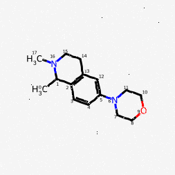 CC1c2ccc(N3CCOCC3)cc2CCN1C